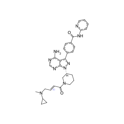 CN(C/C=C/C(=O)N1CCC[C@@H](n2nc(-c3ccc(C(=O)Nc4ccccn4)cc3)c3c(N)ncnc32)C1)C1CC1